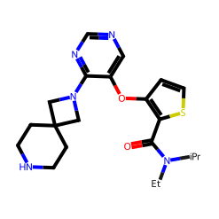 CCN(C(=O)c1sccc1Oc1cncnc1N1CC2(CCNCC2)C1)C(C)C